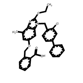 CCOc1nc2c(C)cc(OCc3ccccc3C(=O)O)cc2n1Cc1ccc(-c2ccccc2)cc1Cl